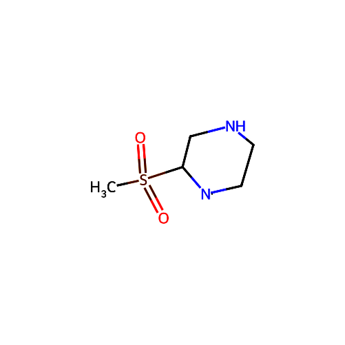 CS(=O)(=O)C1CNCC[N]1